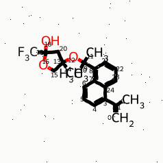 C=C(C)c1cccc2c(C(C)(C)OC3(C)COC(O)(C(F)(F)F)C3)cccc12